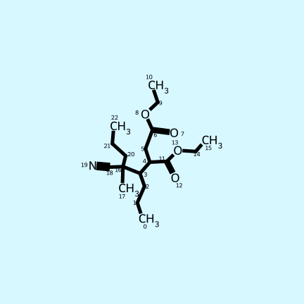 CCCC(C(CC(=O)OCC)C(=O)OCC)C(C)(C#N)CCC